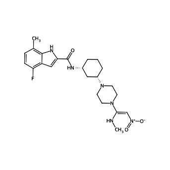 CN/C(=C\[N+](=O)[O-])N1CCN([C@H]2CCC[C@@H](NC(=O)c3cc4c(F)ccc(C)c4[nH]3)C2)CC1